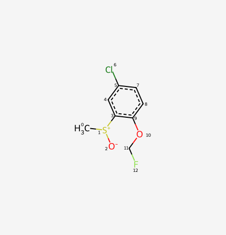 C[S+]([O-])c1cc(Cl)ccc1OCF